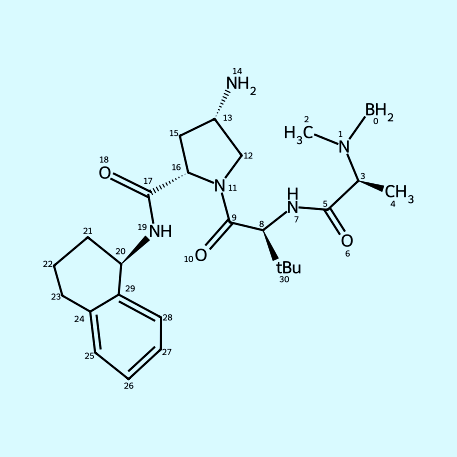 BN(C)[C@@H](C)C(=O)N[C@H](C(=O)N1C[C@@H](N)C[C@H]1C(=O)N[C@@H]1CCCc2ccccc21)C(C)(C)C